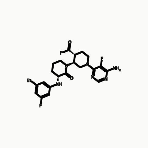 CCc1cc(F)cc(N[C@@H]2CCCN([C@@H]3CN(c4ncnc(N)c4F)CC[C@H]3C(=O)F)C2=O)c1